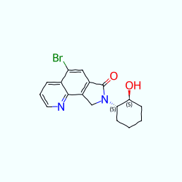 O=C1c2cc(Br)c3cccnc3c2CN1[C@H]1CCCC[C@@H]1O